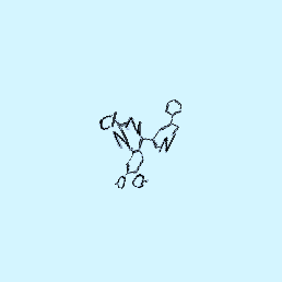 COc1cc2nc(Cl)nc(-c3cncc(-c4ccccc4)c3)c2cc1OC